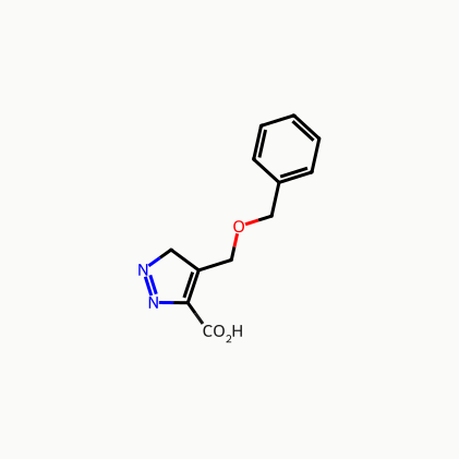 O=C(O)C1=C(COCc2ccccc2)CN=N1